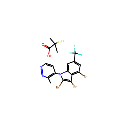 CC(C)(S)C(=O)O.Cc1nnccc1-n1c(Br)c(Br)c2c(Br)cc(C(F)(F)F)cc21